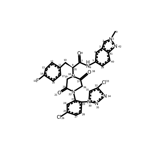 Cn1cc2cc(NC(=O)[C@H](Cc3ccc(F)cc3)N3CC(=O)N(c4cc(Cl)ccc4-n4cc(Cl)nn4)CC3=O)ccc2n1